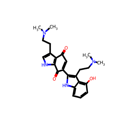 CN(C)CCc1c[nH]c2c1C(=O)C=C(c1[nH]c3cccc(O)c3c1CCN(C)C)C2=O